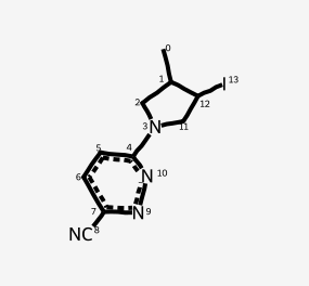 CC1CN(c2ccc(C#N)nn2)CC1I